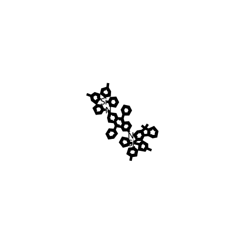 Cc1ccc([Si]2(c3ccc(C)cc3)c3ccccc3N(c3ccc4c(-c5ccccc5)c5cc(N6c7ccccc7[Si](c7ccc(C)cc7)(c7ccc(C)cc7)c7cc8c(cc76)C(C)(C)c6ccccc6-8)ccc5c(-c5ccccc5)c4c3)c3ccccc32)cc1